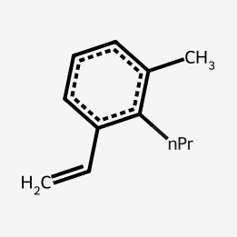 C=Cc1cccc(C)c1CCC